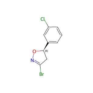 Clc1cccc([C@H]2CC(Br)=NO2)c1